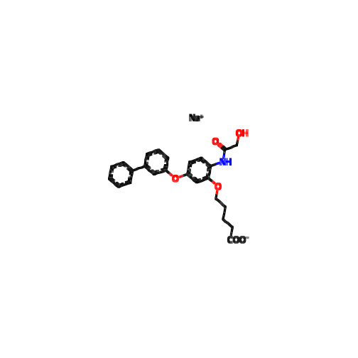 O=C([O-])CCCCOc1cc(Oc2cccc(-c3ccccc3)c2)ccc1NC(=O)CO.[Na+]